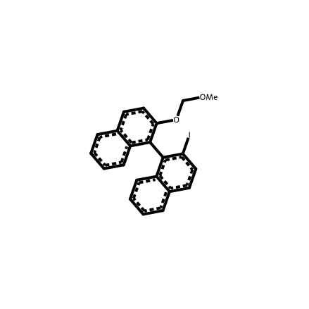 COCOc1ccc2ccccc2c1-c1c(I)ccc2ccccc12